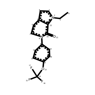 CCn1ccc2ccn(-c3ccc(OC(F)(F)F)cc3)c(=O)c21